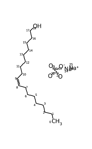 CCCCCCCC/C=C\CCCCCCCCO.O=S(=O)([O-])[O-].[Na+].[Na+]